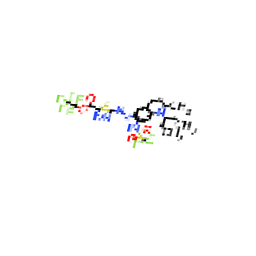 CCC(CC)N1c2cc(NS(=O)(=O)C(F)(F)F)c(N=Nc3nnc(C(=O)OC(F)(F)C(F)(F)F)s3)cc2CCC1C